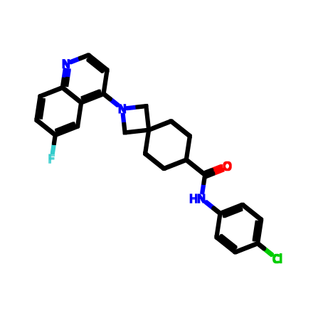 O=C(Nc1ccc(Cl)cc1)C1CCC2(CC1)CN(c1ccnc3ccc(F)cc13)C2